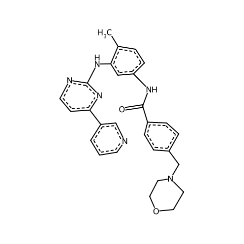 Cc1ccc(NC(=O)c2ccc(CN3CCOCC3)cc2)cc1Nc1nccc(-c2cccnc2)n1